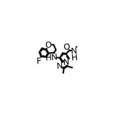 CNC(=O)c1cc(NC2CCOc3ccc(F)cc32)c2nc(C)c(C)n2c1